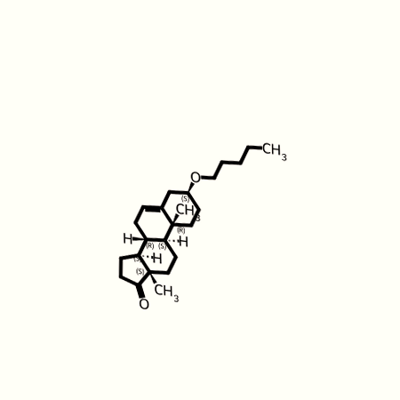 CCCCCO[C@H]1CC[C@@]2(C)C(=CC[C@@H]3[C@@H]2CC[C@]2(C)C(=O)CC[C@@H]32)C1